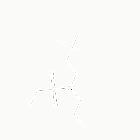 CCCN(CCC(C)(C)C)S(=O)(=O)CC